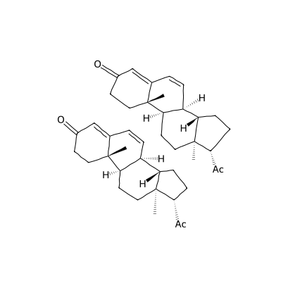 CC(=O)[C@H]1CC[C@H]2[C@@H]3C=CC4=CC(=O)CC[C@@]4(C)[C@@H]3CC[C@]12C.CC(=O)[C@H]1CC[C@H]2[C@@H]3C=CC4=CC(=O)CC[C@@]4(C)[C@@H]3CC[C@]12C